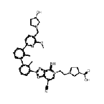 COc1nc(-c2cccc(-c3cccc(-c4nc5c(=N)n(CCN6CC[C@@H](C(=O)O)C6)cc(C#N)c5o4)c3C)c2C)ccc1CN1CC[C@@H](O)C1